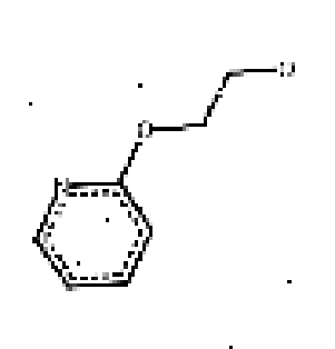 [O]CCOc1ccccn1